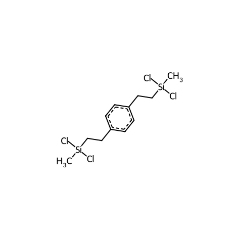 C[Si](Cl)(Cl)CCc1ccc(CC[Si](C)(Cl)Cl)cc1